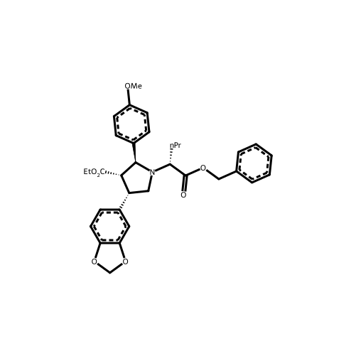 CCC[C@H](C(=O)OCc1ccccc1)N1C[C@H](c2ccc3c(c2)OCO3)[C@H](C(=O)OCC)[C@H]1c1ccc(OC)cc1